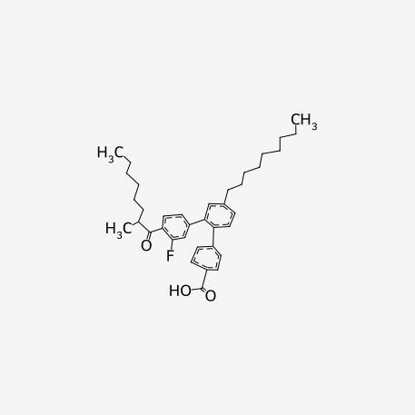 CCCCCCCCCc1ccc(-c2ccc(C(=O)O)cc2)c(-c2ccc(C(=O)C(C)CCCCCC)c(F)c2)c1